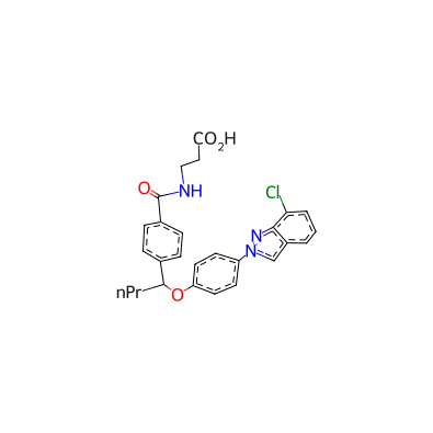 CCCC(Oc1ccc(-n2cc3cccc(Cl)c3n2)cc1)c1ccc(C(=O)NCCC(=O)O)cc1